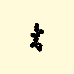 C=C1/C=C\C=C(\N(c2ccccc2)c2ccc3c(c2)oc2c4ccc(N(c5ccccc5)c5ccc6oc7ccccc7c6c5)cc4c4ccccc4c32)COc2ccccc21